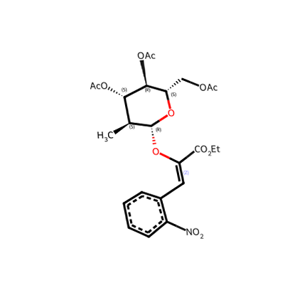 CCOC(=O)/C(=C/c1ccccc1[N+](=O)[O-])O[C@H]1O[C@@H](COC(C)=O)[C@H](OC(C)=O)[C@@H](OC(C)=O)[C@@H]1C